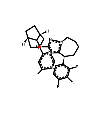 Cc1cc(N2C[C@H]3CC[C@@H](C2)C3Nc2nc3n(n2)CCCC[C@H]3c2ccc(F)c(F)c2F)ncn1